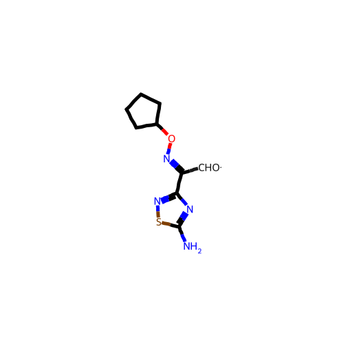 Nc1nc(/C([C]=O)=N/OC2CCCC2)ns1